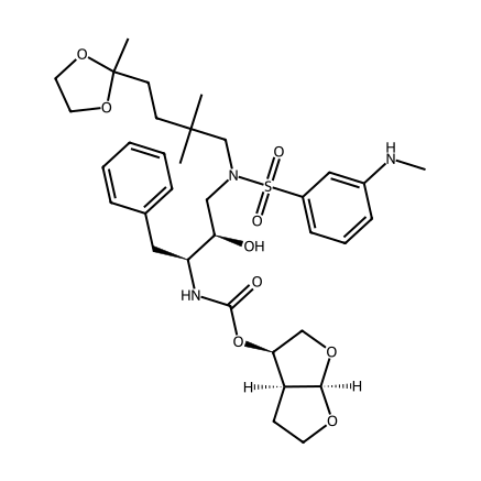 CNc1cccc(S(=O)(=O)N(C[C@@H](O)[C@H](Cc2ccccc2)NC(=O)O[C@H]2CO[C@H]3OCC[C@H]32)CC(C)(C)CCC2(C)OCCO2)c1